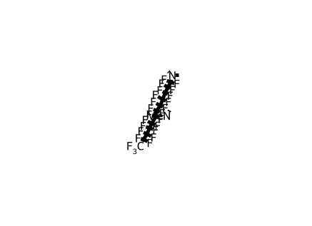 CN(C)C(F)(F)C(F)(F)C(F)(F)C(F)(F)C(F)(F)C(F)(F)C(F)(F)C(F)(F)C(F)(F)C(F)(F)C(F)(F)C(F)(F)F.CNC